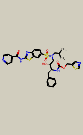 CC(C)CN(C[C@@H](O)[C@H](Cc1ccccc1)NC(=O)OCc1cncs1)S(=O)(=O)c1ccc2nc(NC(=O)c3ccncc3)sc2c1